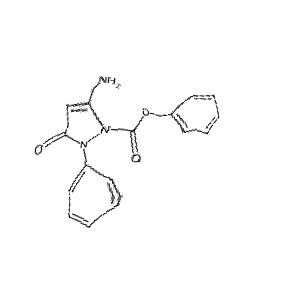 Nc1cc(=O)n(-c2ccccc2)n1C(=O)Oc1ccccc1